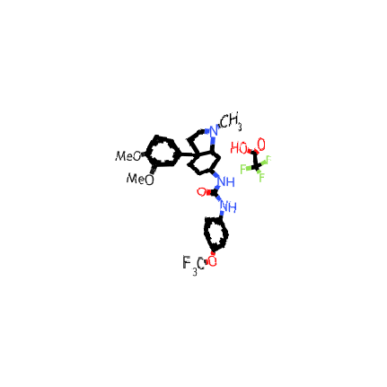 COc1ccc(C23CCC(NC(=O)Nc4ccc(OC(F)(F)F)cc4)CC2N(C)CC3)cc1OC.O=C(O)C(F)(F)F